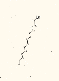 CCCCC[CH]CCCCCCCCBr